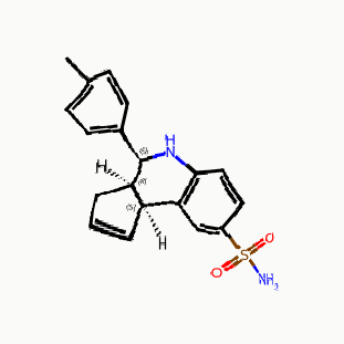 Cc1ccc([C@H]2Nc3ccc(S(N)(=O)=O)cc3[C@H]3C=CC[C@H]32)cc1